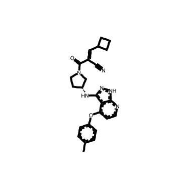 Cc1ccc(Oc2ccnc3[nH]nc(N[C@@H]4CCN(C(=O)/C(C#N)=C/C5CCC5)C4)c23)cc1